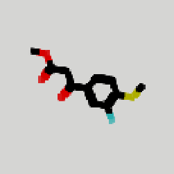 COC(=O)CC(=O)c1ccc(SC)c(F)c1